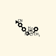 CC(OC(=O)Nc1c(Cl)cnn1-c1ccc(-c2ccc(C3(C#N)CC3)cc2)cc1)c1ccccc1